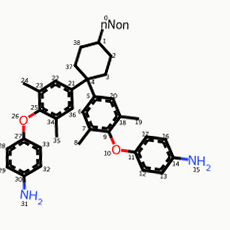 CCCCCCCCCC1CCC(c2cc(C)c(Oc3ccc(N)cc3)c(C)c2)(c2cc(C)c(Oc3ccc(N)cc3)c(C)c2)CC1